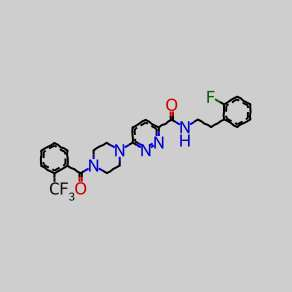 O=C(NCCc1ccccc1F)c1ccc(N2CCN(C(=O)c3ccccc3C(F)(F)F)CC2)nn1